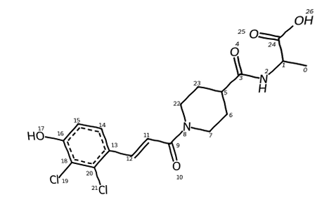 CC(NC(=O)C1CCN(C(=O)/C=C/c2ccc(O)c(Cl)c2Cl)CC1)C(=O)O